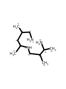 CC(CN)CC(C)NCC(C)C(C)N